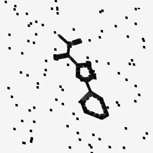 C=[N+](C)C(=O)c1cc(-c2ccccc2)no1